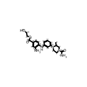 CC1CN(C(N)=O)CCN1c1cccc(Nc2ccc(C(=O)OCCO)cc2N)c1